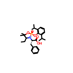 CCOP(=O)(Oc1c(C(C)C)cccc1C(C)C)N(C(CC)CC)[C@@H](Cc1ccccc1)C(=O)O